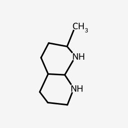 CC1CCC2CCCNC2N1